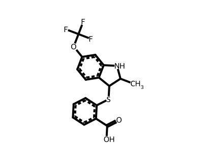 CC1Nc2cc(OC(F)(F)F)ccc2C1Sc1ccccc1C(=O)O